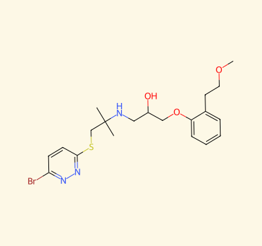 COCCc1ccccc1OCC(O)CNC(C)(C)CSc1ccc(Br)nn1